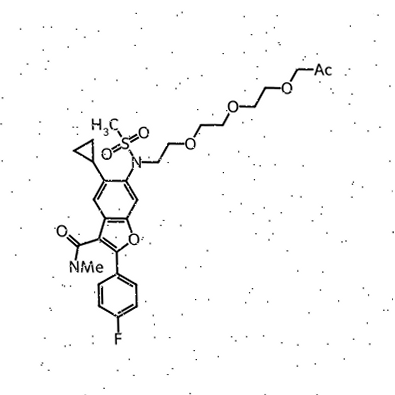 CNC(=O)c1c(-c2ccc(F)cc2)oc2cc(N(CCOCCOCCOCC(C)=O)S(C)(=O)=O)c(C3CC3)cc12